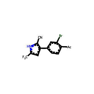 CC(=O)c1ccc(-c2cc(C(F)(F)F)[nH]c2C#N)cc1Br